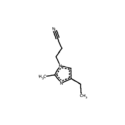 CCc1cn(CCC#N)c(C)n1